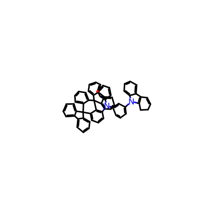 C1=Cc2c(n(-c3cccc(N(c4ccccc4)c4cccc5c4C4(c6ccccc6-c6ccccc64)c4ccccc4C54c5ccccc5-c5ccccc54)c3)c3ccccc23)CC1